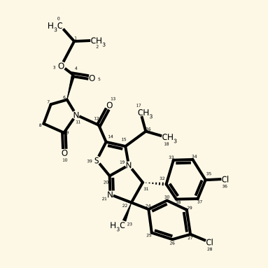 CC(C)OC(=O)[C@@H]1CCC(=O)N1C(=O)C1=C(C(C)C)N2C(=N[C@@](C)(c3ccc(Cl)cc3)[C@H]2c2ccc(Cl)cc2)S1